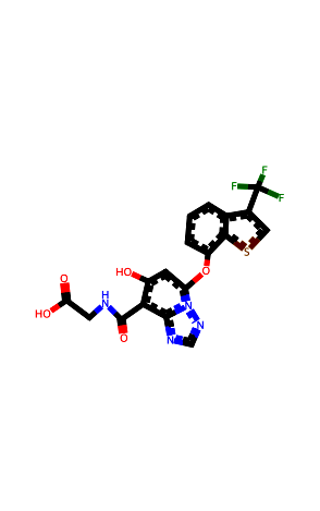 O=C(O)CNC(=O)c1c(O)cc(Oc2cccc3c(C(F)(F)F)csc23)n2ncnc12